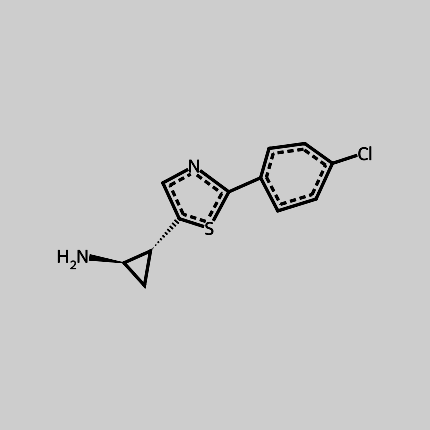 N[C@@H]1C[C@H]1c1cnc(-c2ccc(Cl)cc2)s1